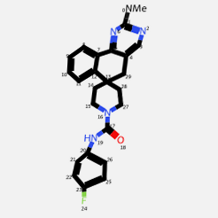 CNc1ncc2c(n1)-c1ccccc1C1(CCN(C(=O)Nc3ccc(F)cc3)CC1)C2